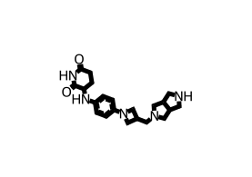 O=C1CCC(Nc2ccc(N3CC(CN4CC5CNCC5C4)C3)cc2)C(=O)N1